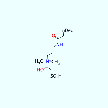 CCCCCCCCCCCC(=O)NCCC[N+](C)(C)C(O)CS(=O)(=O)O